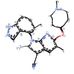 Cc1cc2c(C#N)c(N)n(-c3c(C)ccc4[nH]ncc34)c2nc1OC1CCN(C)CC1